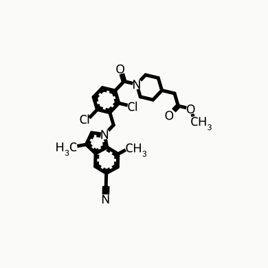 COC(=O)CC1CCN(C(=O)c2ccc(Cl)c(Cn3cc(C)c4cc(C#N)cc(C)c43)c2Cl)CC1